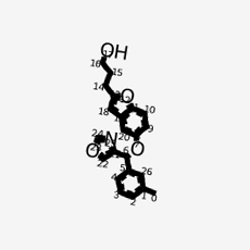 Cc1cccc(C(Oc2ccc3oc(CCCO)cc3c2)c2cocn2)c1